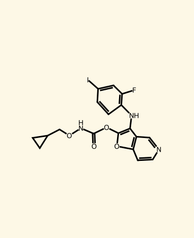 O=C(NOCC1CC1)Oc1oc2ccncc2c1Nc1ccc(I)cc1F